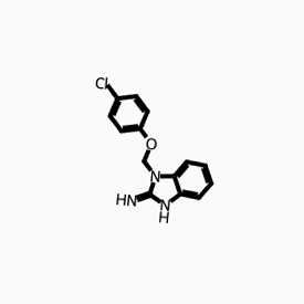 N=c1[nH]c2ccccc2n1COc1ccc(Cl)cc1